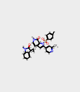 Cc1ccc(S(=O)(=O)n2c(-c3ccnc(C(F)(F)F)c3)cc3c([C@@H]4C[C@@]45C(=O)N(C)c4ccccc45)cn(C)c(=O)c32)cc1